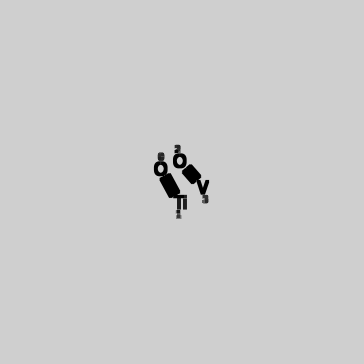 [O]=[Ti].[O]=[V]